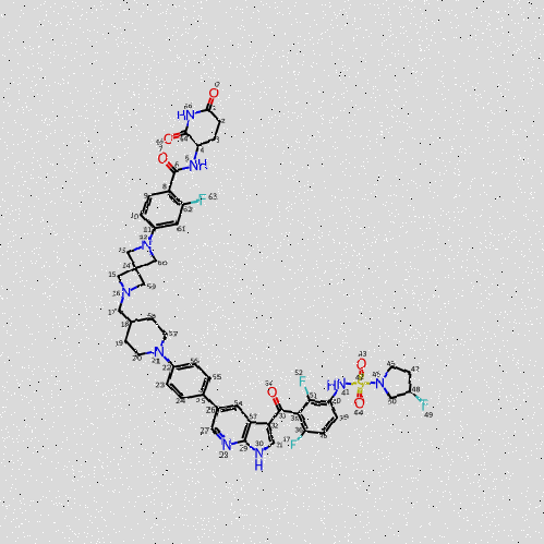 O=C1CCC(NC(=O)c2ccc(N3CC4(CN(CC5CCN(c6ccc(-c7cnc8[nH]cc(C(=O)c9c(F)ccc(NS(=O)(=O)N%10CC[C@@H](F)C%10)c9F)c8c7)cc6)CC5)C4)C3)cc2F)C(=O)N1